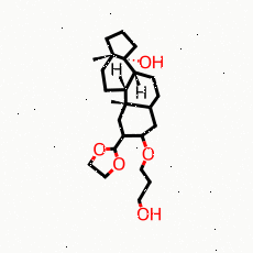 C[C@@]12CCC[C@@]1(O)[C@@H]1CCC3CC(OCCCO)C(C4OCCO4)C[C@]3(C)[C@@H]1CC2